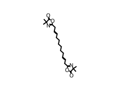 CC1(C)N=C(C/C=C/CCCCCC/C=C/CC2=NC(C)(C)C(=O)O2)OC1=O